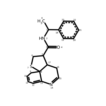 CC(NC(=O)C1CSC23CC=CC=C2N=CCC13)c1ccccc1